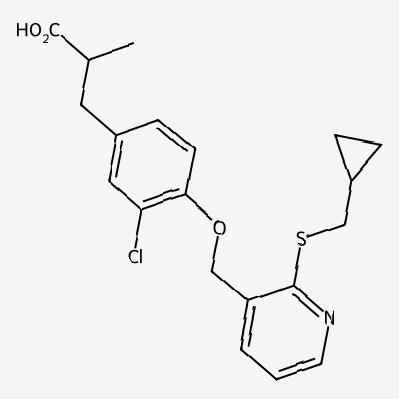 CC(Cc1ccc(OCc2cccnc2SCC2CC2)c(Cl)c1)C(=O)O